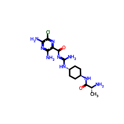 C[C@@H](N)C(=O)N[C@H]1CC[C@H](N/C(N)=N/C(=O)c2nc(Cl)c(N)nc2N)CC1